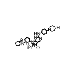 CC(C)n1c(=O)c2cnc(Nc3ccc(N4CCNCC4)cc3)nc2n1-c1cccc(N=S2(=O)CCCC2)n1